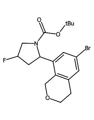 CC(C)(C)OC(=O)N1CC(F)CC1c1cc(Br)cc2c1COCC2